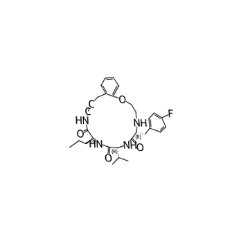 CCC[C@@H]1NC(=O)[C@@H](C(C)C)NC(=O)[C@@H](Cc2ccc(F)cc2)NCCOc2ccccc2CCCNC1=O